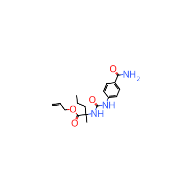 C=CCOC(=O)C(C)(CCC)NC(=O)Nc1ccc(C(N)=O)cc1